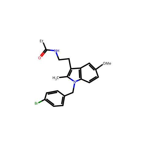 CCC(=O)NCCc1c(C)n(Cc2ccc(Br)cc2)c2ccc(OC)cc12